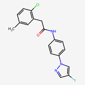 Cc1ccc(Cl)c(CC(=O)Nc2ccc(-n3cc(F)cn3)cc2)c1